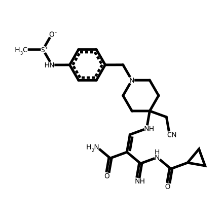 C[S+]([O-])Nc1ccc(CN2CCC(CC#N)(N/C=C(\C(=N)NC(=O)C3CC3)C(N)=O)CC2)cc1